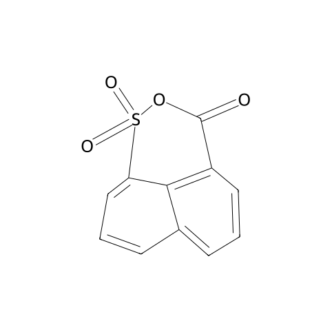 O=C1OS(=O)(=O)c2cccc3cccc1c23